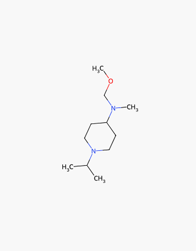 COCN(C)C1CCN(C(C)C)CC1